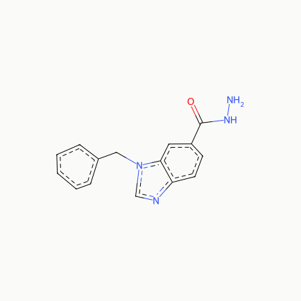 NNC(=O)c1ccc2ncn(Cc3ccccc3)c2c1